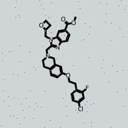 COC(=O)c1ccc2nc(CN3CCc4ccc(OCCc5ccc(Cl)cc5F)cc4C3)n(CC3CCO3)c2c1